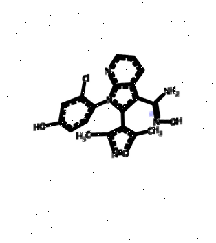 Cc1noc(C)c1-c1c(/C(N)=N/O)c2cccnc2n1-c1ccc(O)cc1Cl